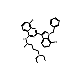 CCN(CC)CCCC(C)Nc1nc(-c2cn(Cc3ccccc3)c3c(Cl)cccc23)nc2c(Cl)cccc12